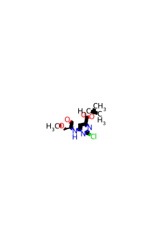 COC[C@@H](C=O)Nc1cc(C(=O)OC(C)(C)C)nc(Cl)n1